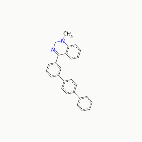 CN1CN=C(c2cccc(-c3ccc(-c4ccccc4)cc3)c2)c2ccccc21